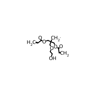 [CH2]C(COCCO)(COC(=O)C=C)COC(=O)C=C